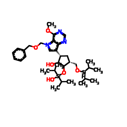 COc1ncnc2c([C@@H]3C[C@H](CO[SiH](C(C)C)C(C)C)[C@@H](O[Si](O)(C(C)C)C(C)C)[C@H]3O)cn(COCc3ccccc3)c12